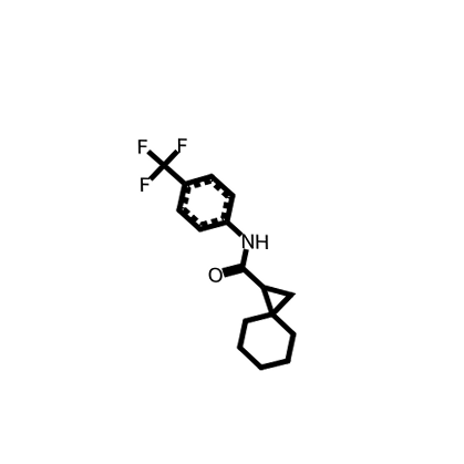 O=C(Nc1ccc(C(F)(F)F)cc1)C1CC12CCCCC2